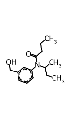 CCCC(=O)N(c1cccc(CO)c1)C(C)CC